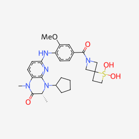 COc1cc(C(=O)N2CC3(CCS3(O)O)C2)ccc1Nc1ccc2c(n1)N(C1CCCC1)[C@H](C)C(=O)N2C